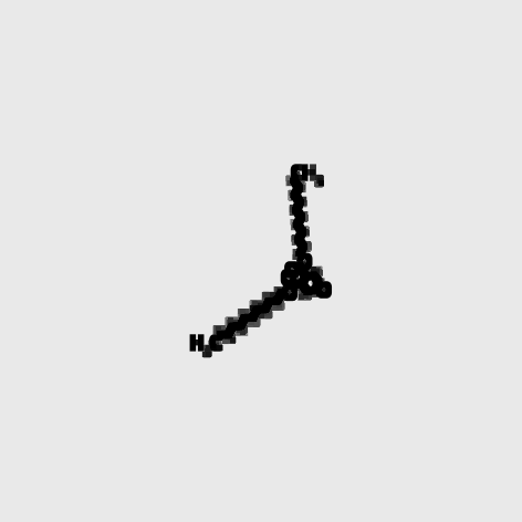 CCCCCCCCCCCCOC(=O)C1CC2OC2CC1C(=O)OCCCCCCCCCCCC